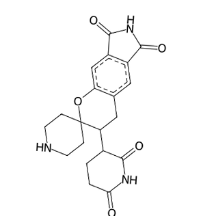 O=C1CCC(C2Cc3cc4c(cc3OC23CCNCC3)C(=O)NC4=O)C(=O)N1